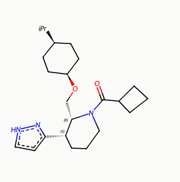 CC(C)[C@H]1CC[C@@H](OC[C@H]2[C@@H](c3cc[nH]n3)CCCN2C(=O)C2CCC2)CC1